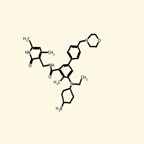 BC1CCC(N(CC)c2cc(-c3ccc(CN4CCOCC4)cc3)cc(C(=O)NCc3c(C)cc(C)[nH]c3=O)c2C)CC1